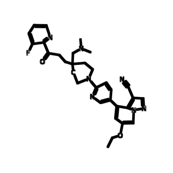 CCOc1cc(-c2ccc(N3CCC(CCC(=O)c4ncccc4F)(CN(C)C)CC3)nc2)c2c(C#N)cnn2c1